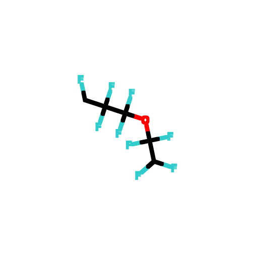 FCC(F)(F)C(F)(F)OC(F)(F)C(F)F